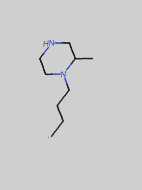 [CH2]CCCN1CCNCC1C